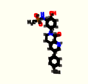 CC(C)(C)c1ccc(-c2cnc3c(c2)CCN(c2ccc(O)c(NS(C)(=O)=O)c2)C3=O)cc1